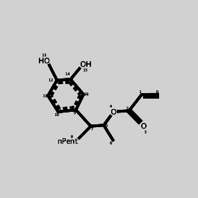 C=CC(=O)OC(C)C(CCCCC)c1ccc(O)c(O)c1